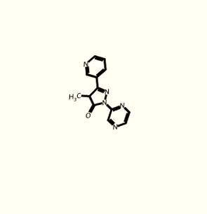 CC1C(=O)N(c2cnccn2)N=C1c1cccnc1